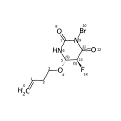 C=CCCO[C@@H]1NC(=O)N(Br)C(=O)[C@H]1F